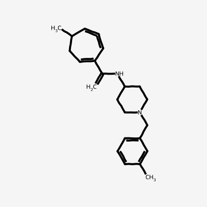 C=C(NC1CCN(Cc2cccc(C)c2)CC1)C1=CCC(C)C=C=C1